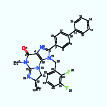 CCN1C(=O)c2nc(-c3ccc(-c4ccccc4)cc3)n(Cc3cccc(F)c3F)c2N2C[C@@H](C(C)C)N=C12